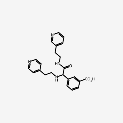 O=C(O)c1cccc(C(NCCc2ccncc2)C(=O)NCCc2cccnc2)c1